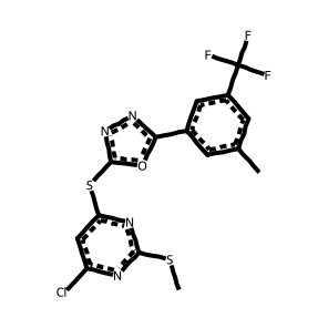 CSc1nc(Cl)cc(Sc2nnc(-c3cc(C)cc(C(F)(F)F)c3)o2)n1